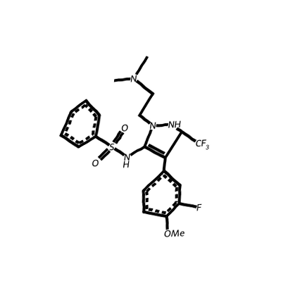 COc1ccc(C2=C(NS(=O)(=O)c3ccccc3)N(CCN(C)C)NC2C(F)(F)F)cc1F